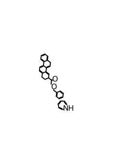 C1=CC=CNC=C1.O=C(COCc1ccccc1)C1C=c2c(ccc3c2=CCc2ccccc2-3)CC1